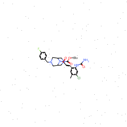 Cc1cc(C=CC(=O)N2C3CN(Cc4ccc(F)cc4)CC2CN(C(=O)OC(C)(C)C)C3)c(NC(N)=O)cc1Cl